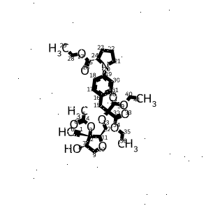 C#C[C@]1(OC(C)=O)[C@@H](O)CO[C@@H]1COC(Cc1ccc(N2CCC[C@H]2C(=O)OCC)cc1)(C(=O)OCC)C(=O)OCC